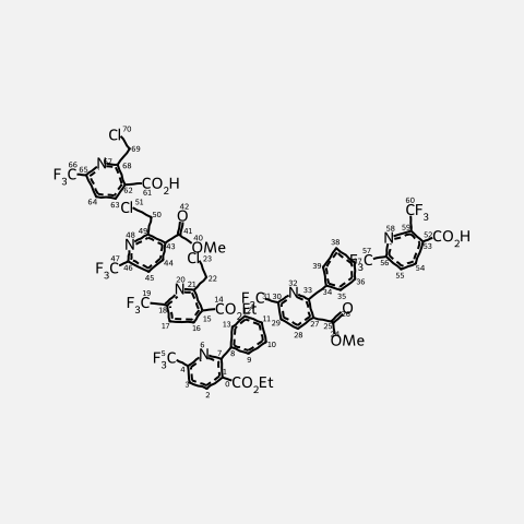 CCOC(=O)c1ccc(C(F)(F)F)nc1-c1ccccc1.CCOC(=O)c1ccc(C(F)(F)F)nc1CCl.COC(=O)c1ccc(C(F)(F)F)nc1-c1ccccc1.COC(=O)c1ccc(C(F)(F)F)nc1CCl.O=C(O)c1ccc(C(F)(F)F)nc1C(F)(F)F.O=C(O)c1ccc(C(F)(F)F)nc1CCl